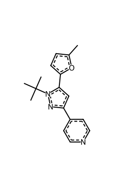 Cc1ccc(-c2cc(-c3ccncc3)nn2C(C)(C)C)o1